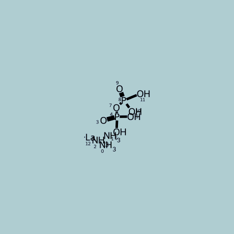 N.N.N.O=P(O)(O)OP(=O)(O)O.[La]